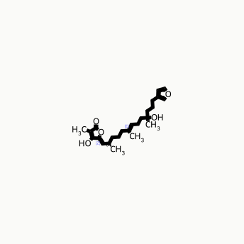 CC1=C(O)/C(=C/[C@@H](C)CCC/C(C)=C/CCC(C)(O)CCCc2ccoc2)OC1=O